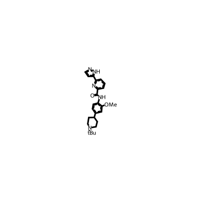 COc1cc(C2CCN(C(C)(C)C)CC2)ccc1NC(=O)c1cccc(-c2ccn[nH]2)n1